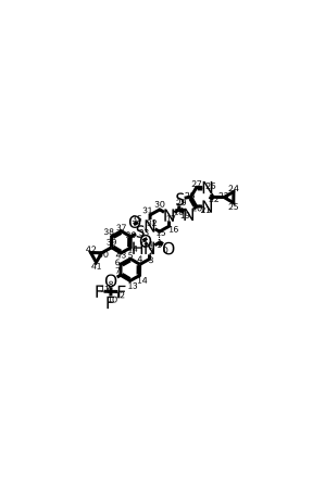 O=C(NCc1ccc(OC(F)(F)F)cc1)[C@H]1CN(c2nc3nc(C4CC4)ncc3s2)CCN1S(=O)(=O)c1ccc(C2CC2)cc1